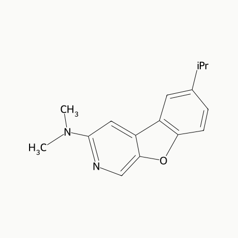 CC(C)c1ccc2oc3cnc(N(C)C)cc3c2c1